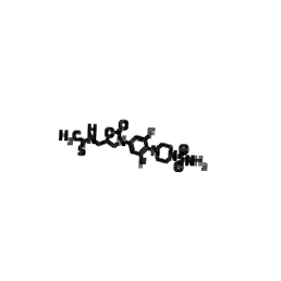 CC(=S)NCC1CN(c2cc(F)c(N3CCN(S(N)(=O)=O)CC3)c(F)c2)C(=O)O1